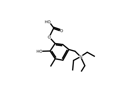 CC[Si](CC)(CC)Cc1cc(C)c(O)c(OC(=O)O)c1